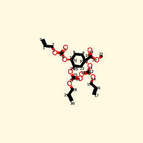 C=CCOC(=O)O[C@H]1CC[C@](OC(=O)OCC=C)(C(=O)OC)C[C@H]1OC(=O)OCC=C